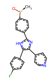 C[S@+]([O-])c1ccc(-c2nc(-c3ccncc3)c(-c3ccc(F)cc3)[nH]2)cc1